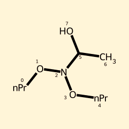 CCCON(OCCC)C(C)O